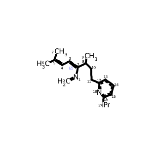 C=N/C(=C\C=C(C)C)C(C)CCc1cccc(C(C)C)n1